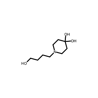 OCCCCN1CCC(O)(O)CC1